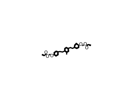 C=CC(=O)OCOc1ccc(CCc2ccc(CCc3ccc(OCOC(=O)C=C)cc3)c(C)c2)cc1